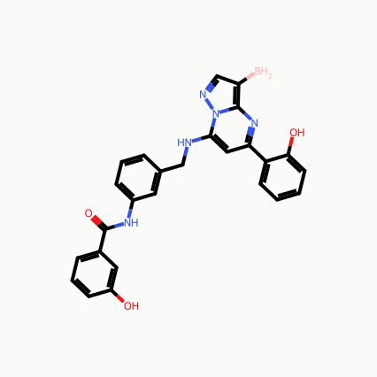 Bc1cnn2c(NCc3cccc(NC(=O)c4cccc(O)c4)c3)cc(-c3ccccc3O)nc12